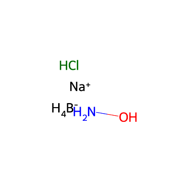 Cl.NO.[BH4-].[Na+]